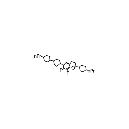 CCCC1CCC(C2CCC(c3cc4c(c(F)c3F)OC(C3CCC(CCC)CC3)CC4)CC2)CC1